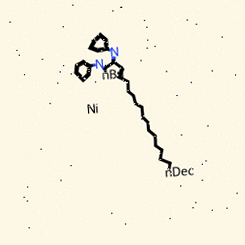 CCCCCCCCCCCCCCCCCCCCCCCC=CC(=Nc1ccccc1)C(CCCC)=Nc1ccccc1.[Ni]